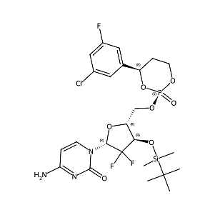 CC(C)(C)[Si](C)(C)O[C@@H]1[C@@H](CO[P@]2(=O)OCC[C@H](c3cc(F)cc(Cl)c3)O2)O[C@@H](n2ccc(N)nc2=O)C1(F)F